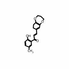 Cc1ccc(O)c(C(=O)C=CC2=CC3=C(CC2)OCCCO3)c1